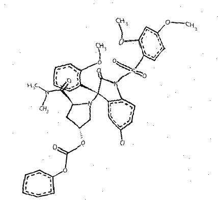 COc1ccc(S(=O)(=O)N2C(=O)[C@@](c3ccccc3OC)(N3C[C@H](OC(=O)Oc4ccccc4)C[C@H]3C(=O)N(C)C)c3cc(Cl)ccc32)c(OC)c1